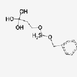 OC(O)(O)CCO[SiH2]OCc1ccccc1